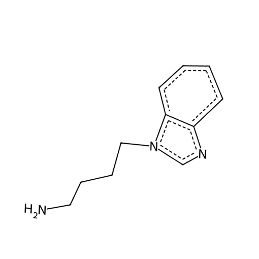 NCCCCn1cnc2ccccc21